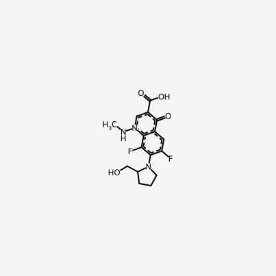 CNn1cc(C(=O)O)c(=O)c2cc(F)c(N3CCCC3CO)c(F)c21